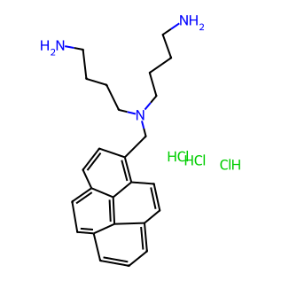 Cl.Cl.Cl.NCCCCN(CCCCN)Cc1ccc2ccc3cccc4ccc1c2c34